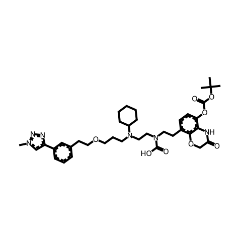 Cn1cc(-c2cccc(CCOCCCN(CCN(CCc3ccc(OC(=O)OC(C)(C)C)c4c3OCC(=O)N4)C(=O)O)C3CCCCC3)c2)nn1